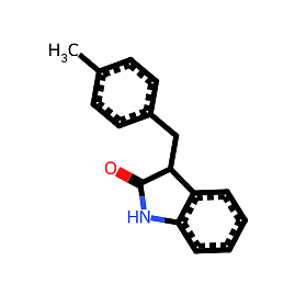 Cc1ccc(CC2C(=O)Nc3ccccc32)cc1